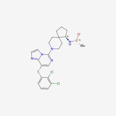 CC(C)(C)[S@@+]([O-])N[C@@H]1CCCC12CCN(c1ncc(Sc3cccc(Cl)c3Cl)c3nccn13)CC2